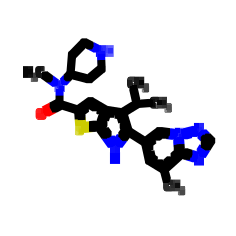 Cc1cc(-c2[nH]c3sc(C(=O)N(C)C4CCNCC4)cc3c2C(C)C)cn2ncnc12